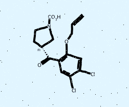 C=CCOc1cc(Cl)c(Cl)cc1C(=O)[C@@H]1CCN(C(=O)O)C1